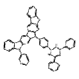 c1ccc(C2=NC(c3ccccc3)NC(c3ccc(-n4c5cc6oc7ccccc7c6cc5c5cc6c7ccccc7n(-c7ccccc7)c6cc54)cc3)N2)cc1